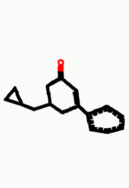 O=C1C=C(c2ccccc2)CC(CC2CC2)C1